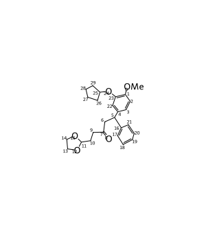 COc1ccc(C(CC(=O)CCC2OCCO2)c2ccccc2)cc1OC1CCCC1